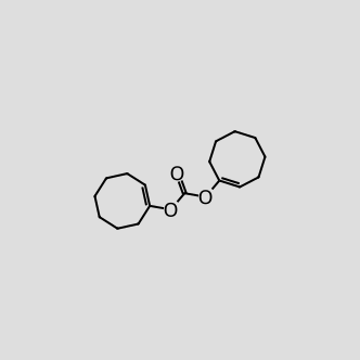 O=C(OC1=CCCCCCC1)OC1=CCCCCCC1